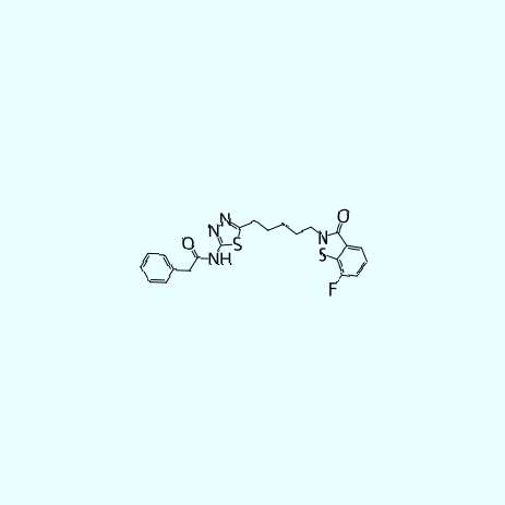 O=C(Cc1ccccc1)Nc1nnc(CCCCCn2sc3c(F)cccc3c2=O)s1